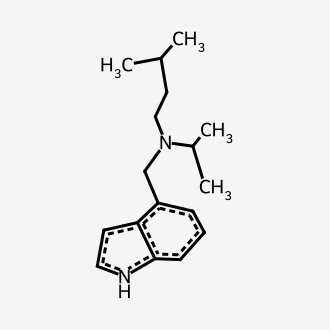 CC(C)CCN(Cc1cccc2[nH]ccc12)C(C)C